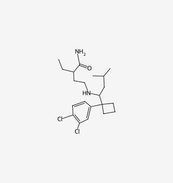 CCC(CCNC(CC(C)C)C1(c2ccc(Cl)c(Cl)c2)CCC1)C(N)=O